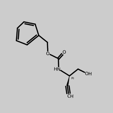 C#C[C@H](CO)NC(=O)OCc1ccccc1